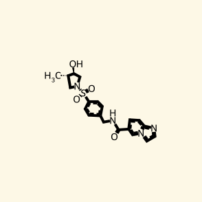 C[C@H]1CN(S(=O)(=O)c2ccc(CNC(=O)c3ccc4nccn4c3)cc2)C[C@@H]1O